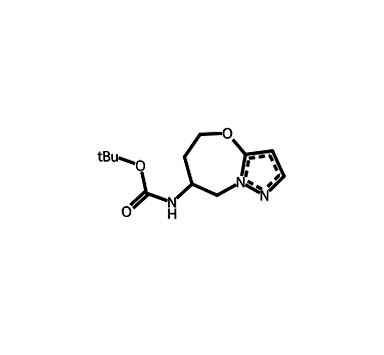 CC(C)(C)OC(=O)NC1CCOc2ccnn2C1